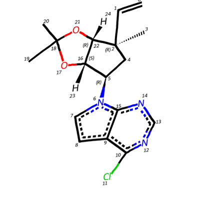 C=C[C@@]1(C)C[C@@H](n2ccc3c(Cl)ncnc32)[C@@H]2OC(C)(C)O[C@@H]21